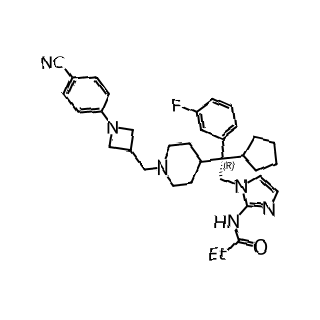 CCC(=O)Nc1nccn1C[C@](c1cccc(F)c1)(C1CCCC1)C1CCN(CC2CN(c3ccc(C#N)cc3)C2)CC1